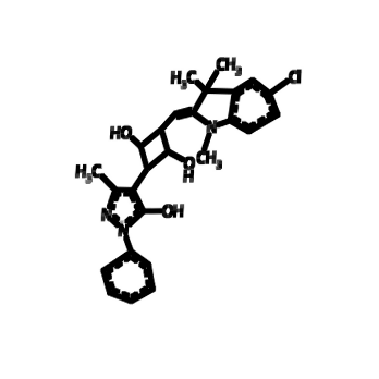 Cc1nn(-c2ccccc2)c(O)c1C1C(O)C(C=C2N(C)c3ccc(Cl)cc3C2(C)C)C1O